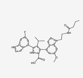 CCCC(=O)NCCn1ccc2c(-c3c(C(=O)O)[nH]c(-c4cc(F)cc5[nH]ccc45)c3C(C)C)cc(OC)cc21